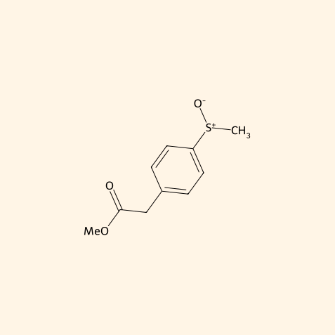 COC(=O)Cc1ccc([S+](C)[O-])cc1